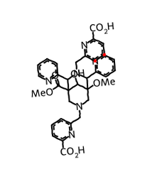 COC(=O)C12CN(Cc3cccc(C(=O)O)n3)CC(OC)(C(c3ccccn3)N(Cc3cccc(C(=O)O)n3)C1c1ccccn1)C2O